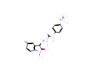 CCN1C(=O)C(=NNC(=S)Nc2ccc(S(N)(=O)=O)cc2)c2cc(Cl)ccc21